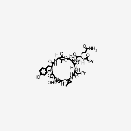 CCC(C)[C@H]1C(=O)N(C)C(Cc2ccc(O)cc2)C(=O)N[C@@H]2C(=O)O[C@@H](CC2C)[C@H](NC(=O)[C@H](CCC(N)=O)NC(=O)C(C)C)C(=O)N[C@@H](CC(C)C)C(=O)NC2(CC2C)C[C@H](C)N1C=O